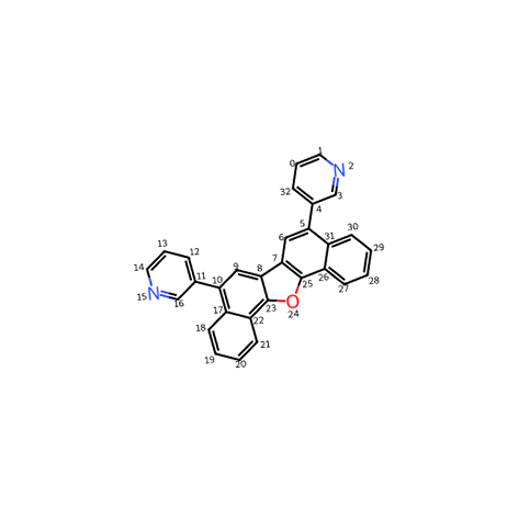 c1cncc(-c2cc3c4cc(-c5cccnc5)c5ccccc5c4oc3c3ccccc23)c1